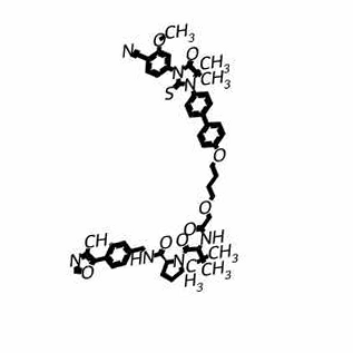 COc1cc(N2C(=O)C(C)(C)N(c3ccc(-c4ccc(OCCCCOCC(=O)NC(C(=O)N5CCC[C@H]5C(=O)NCc5ccc(-c6ocnc6C)cc5)C(C)(C)C)cc4)cc3)C2=S)ccc1C#N